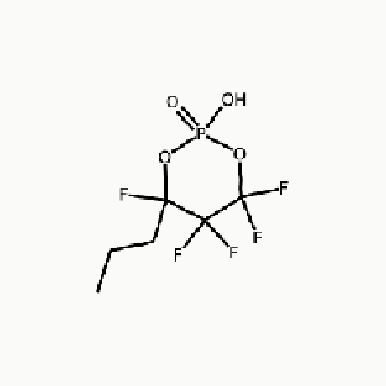 CCCC1(F)OP(=O)(O)OC(F)(F)C1(F)F